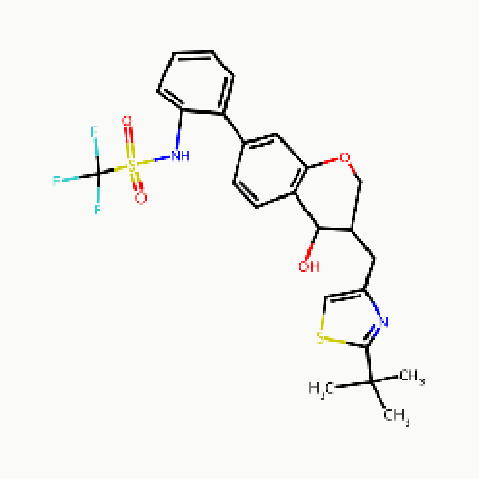 CC(C)(C)c1nc(CC2COc3cc(-c4ccccc4NS(=O)(=O)C(F)(F)F)ccc3C2O)cs1